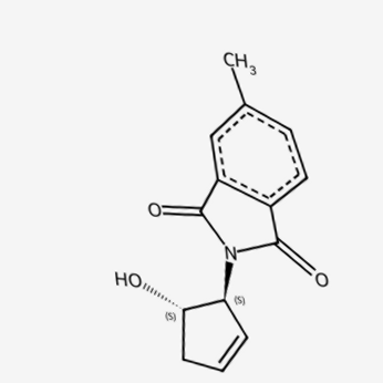 Cc1ccc2c(c1)C(=O)N([C@H]1C=CC[C@@H]1O)C2=O